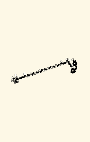 CN(C/C=C/C(=O)OCCOCCOCCOCCOCCOCCOCCOCCNC(=O)CCCC[C@@H]1SC[C@@H]2NC(=O)N[C@@H]21)CCCCN1c2ccccc2CCc2ccc(Cl)cc21